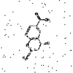 C=C1CC(=O)c2cc(C(C)=O)ccc2O1